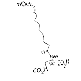 CCCCCCCCC=CCCCCCCCC(=O)N[C@@H](CC(=O)O)C(=O)O